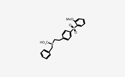 COc1ccccc1S(=O)(=O)c1ccc(CCN(Cc2ccccc2)C(=O)O)cc1